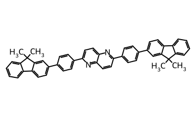 CC1(C)c2ccccc2-c2ccc(-c3ccc(-c4ccc5nc(-c6ccc(-c7ccc8c(c7)C(C)(C)c7ccccc7-8)cc6)ccc5n4)cc3)cc21